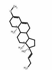 CCC=C[C@]1(O)CCC2C3CC=C4C=C(OC)CC[C@]4(C)C3CC[C@@]21C